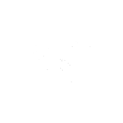 c1ccc(-c2nc(-c3ccc4sc5ccccc5c4c3)nc(-c3cccc4c3-c3ccccc3C43C4CC5CC(C4)CC3C5)n2)cc1